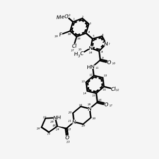 COc1ccc(-c2cnc(C(=O)Nc3ccc(C(=O)N4CCN(C(=O)[C@H]5CCCN5)CC4)c(Cl)c3)n2C)c(Cl)c1F